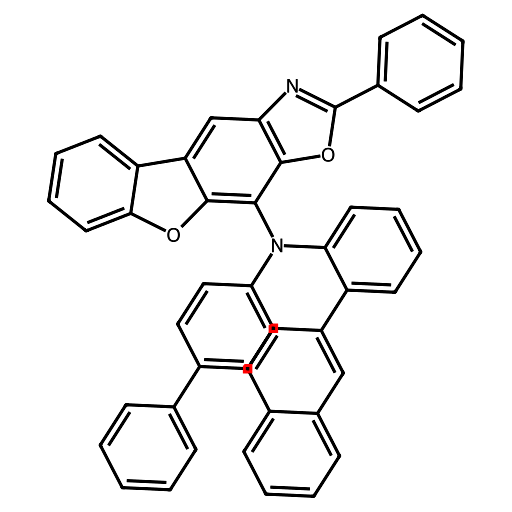 c1ccc(-c2ccc(N(c3ccccc3-c3ccc4ccccc4c3)c3c4oc(-c5ccccc5)nc4cc4c3oc3ccccc34)cc2)cc1